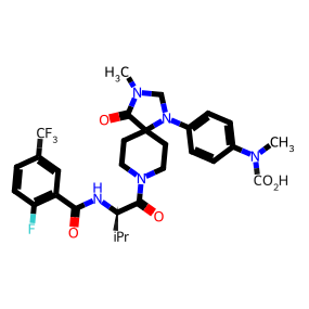 CC(C)[C@@H](NC(=O)c1cc(C(F)(F)F)ccc1F)C(=O)N1CCC2(CC1)C(=O)N(C)CN2c1ccc(N(C)C(=O)O)cc1